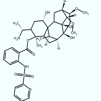 CO[C@H]1C[C@]2(O)[C@H]3CC4C(C5C[C@H]1[C@H](OC)[C@@]52O)([C@@H]3C)[C@@H](O)CC([C@@H](C)N)[C@]4(C)OC(=O)c1ccccc1NS(=O)(=O)c1ccccn1